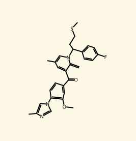 C=C1C(C(=O)c2ccc(-n3cnc(C)c3)c(OC)c2)=CC(C)=CN1C(CCSC)c1ccc(F)cc1